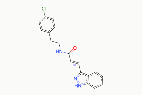 O=C(/C=C/c1n[nH]c2ccccc12)NCCc1ccc(Cl)cc1